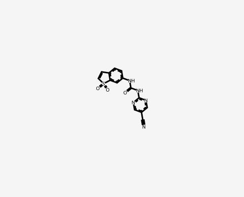 N#Cc1cnc(NC(=O)Nc2ccc3c(c2)S(=O)(=O)C=C3)nc1